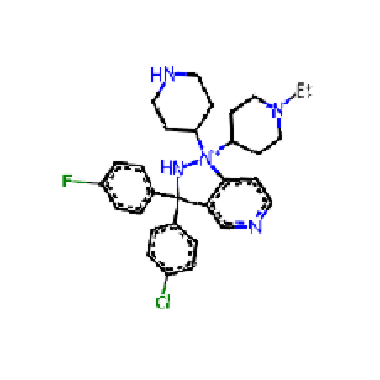 CCN1CCC([N+]2(C3CCNCC3)NC(c3ccc(F)cc3)(c3ccc(Cl)cc3)c3cnccc32)CC1